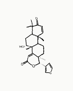 CC1(C)C(=O)C=C[C@@]2(C)C1C[C@@H](O)[C@@]1(C)C3=CC(=O)O[C@@H](c4ccoc4)[C@]3(C)CCC21